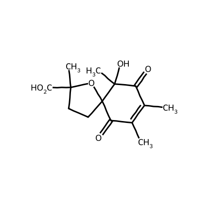 CC1=C(C)C(=O)C2(CCC(C)(C(=O)O)O2)C(C)(O)C1=O